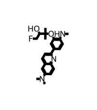 CNc1ccc(-c2ccc3cc(N(C)C)ccc3n2)cc1OC(C)(C)C(O)CF